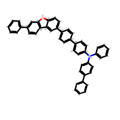 c1ccc(-c2ccc(N(c3ccccc3)c3ccc(-c4ccc(-c5ccc6oc7cc(-c8ccccc8)ccc7c6c5)cc4)cc3)cc2)cc1